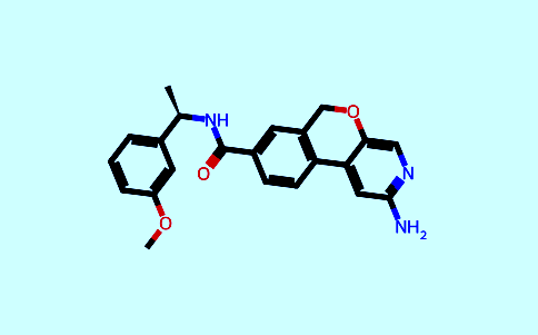 COc1cccc([C@@H](C)NC(=O)c2ccc3c(c2)COc2cnc(N)cc2-3)c1